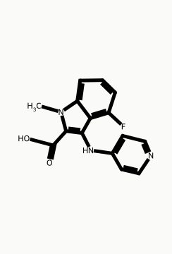 Cn1c(C(=O)O)c(Nc2ccncc2)c2c(F)cccc21